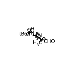 CC(OC=O)c1nnc(CNC(=O)OC(C)(C)C)s1